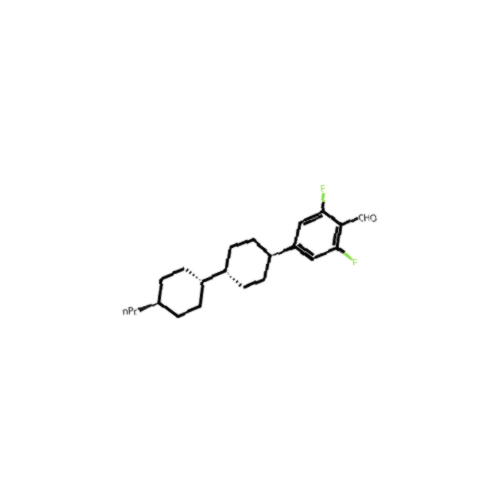 CCC[C@H]1CC[C@H]([C@H]2CC[C@H](c3cc(F)c(C=O)c(F)c3)CC2)CC1